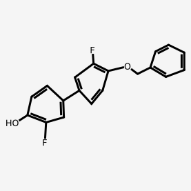 Oc1ccc(-c2ccc(OCc3ccccc3)c(F)c2)cc1F